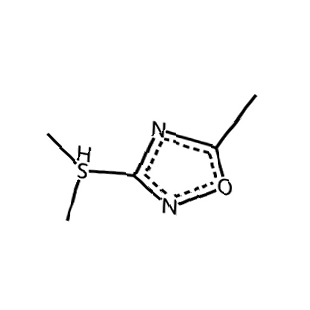 Cc1nc([SH](C)C)no1